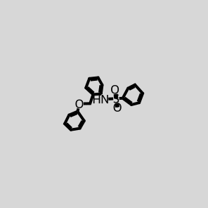 O=S(=O)(Nc1ccccc1COc1ccccc1)c1ccccc1